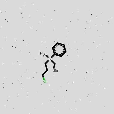 CC(C)(C)C[Si](C)(CCCCl)c1ccccc1